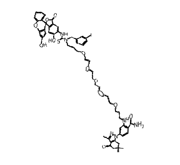 Cc1nn(-c2ccc(C(N)=O)c(NCCCOCCOCCOCCOCCOCCCN(Cc3cccc(I)c3)C(=S)Nc3cc4c(cc3O)C3(OC4=O)c4ccccc4Oc4cc(O)ccc43)c2)c2c1C(=O)CC(C)(C)C2